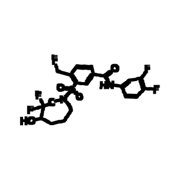 O=C(Nc1ccc(F)c(F)c1)c1ccc(CF)c(S(=O)(=O)N2CCCC(O)C(F)(F)C2)c1